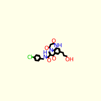 O=C1CC(=O)n2cc(C(=O)NCc3ccc(Cl)cc3)c(=O)c3cc(CCCO)cc(c32)N1